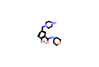 Cc1ccc(CN2CCNCC2)cc1C(=O)NC1CCOCC1